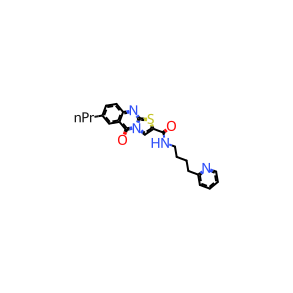 CCCc1ccc2nc3sc(C(=O)NCCCCc4ccccn4)cn3c(=O)c2c1